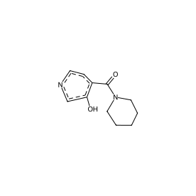 O=C(c1ccncc1O)N1CCCCC1